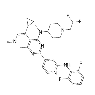 C=N/C=C(\c1c(C)nc(-c2ccnc(Nc3c(F)cccc3F)c2)nc1N(C)C1CCN(CC(F)F)CC1)C1CC1